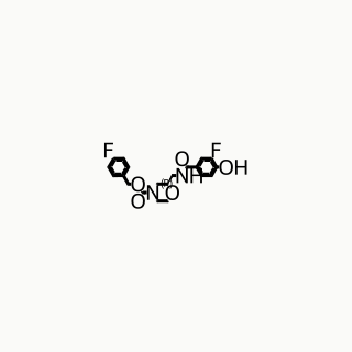 O=C(NC[C@@H]1CN(C(=O)OCc2ccc(F)cc2)CCO1)c1ccc(O)c(F)c1